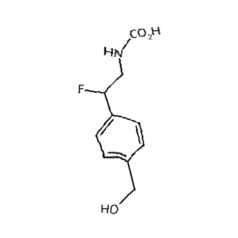 O=C(O)NCC(F)c1ccc(CO)cc1